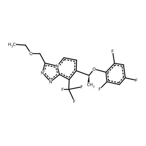 CCOCc1nnc2c(C(F)(F)F)c([C@H](C)Oc3c(F)cc(F)cc3F)ccn12